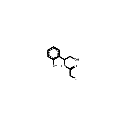 CC(C)c1ccccc1C(CO)NC(=O)CCl